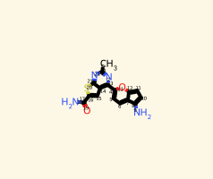 Cc1nc(-c2ccc3c(N)ccc-3o2)c2cc(C(N)=O)sc2n1